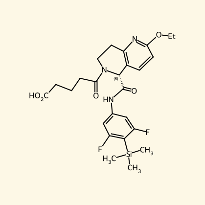 CCOc1ccc2c(n1)CCN(C(=O)CCCC(=O)O)[C@H]2C(=O)Nc1cc(F)c([Si](C)(C)C)c(F)c1